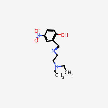 CCN(CC)CCN=Cc1cc([N+](=O)[O-])ccc1O